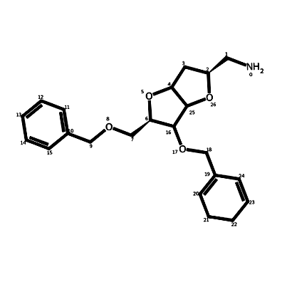 NC[C@@H]1CC2O[C@H](COCc3ccccc3)C(OCC3=CCCC=C3)C2O1